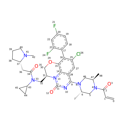 C=CC(=O)N1C[C@H](C)N(c2nc(=O)n3c4c(c(-c5ccc(F)cc5F)c(Cl)cc24)OC[C@@H]3CN(C(=O)C[C@@H]2CCCN2C)C2CC2)C[C@H]1C